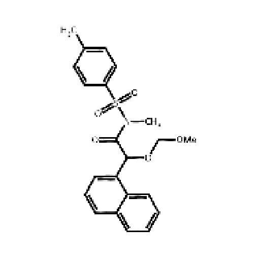 COCOC(C(=O)N(C)S(=O)(=O)c1ccc(C)cc1)c1cccc2ccccc12